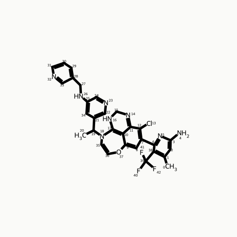 Cc1cc(N)nc(-c2cc3c4c(c2Cl)=NCNC=4N(C(C)c2cncc(NCc4cccnc4)c2)C=CO3)c1C(F)(F)F